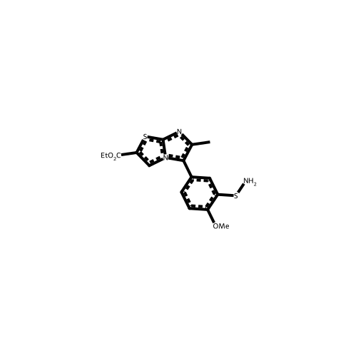 CCOC(=O)c1cn2c(-c3ccc(OC)c(SN)c3)c(C)nc2s1